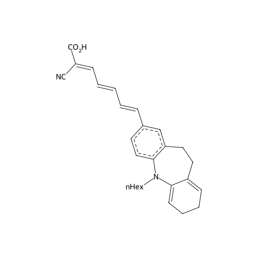 CCCCCCN1C2=CCCC=C2CCc2cc(/C=C/C=C/C=C(\C#N)C(=O)O)ccc21